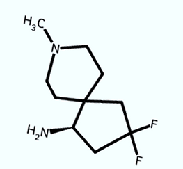 CN1CCC2(CC1)CC(F)(F)C[C@H]2N